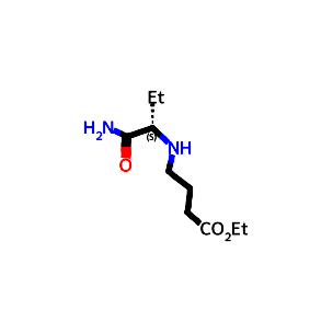 CCOC(=O)CCCN[C@@H](CC)C(N)=O